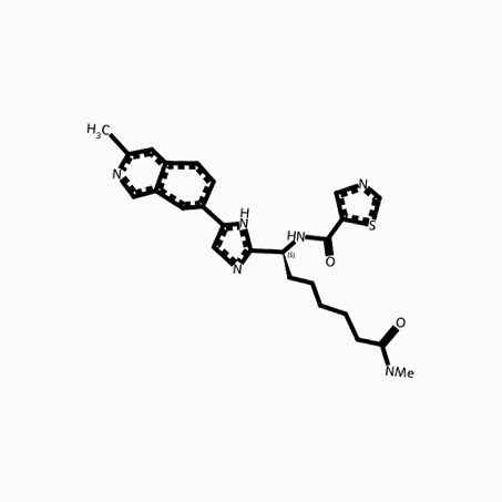 CNC(=O)CCCCC[C@H](NC(=O)c1cncs1)c1ncc(-c2ccc3cc(C)ncc3c2)[nH]1